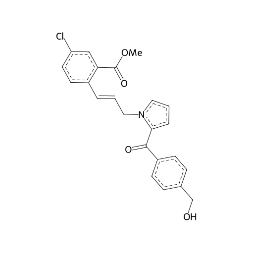 COC(=O)c1cc(Cl)ccc1/C=C/Cn1cccc1C(=O)c1ccc(CO)cc1